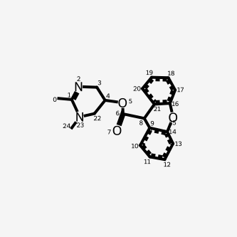 CC1=NCC(OC(=O)C2c3ccccc3Oc3ccccc32)CN1C